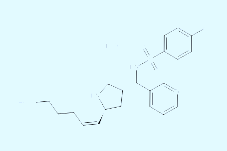 O.O=C(O)CCC/C=C\[C@@H]1C[C@@H](C(NS(=O)(=O)c2ccc(Cl)cc2)c2cccnc2)CN1